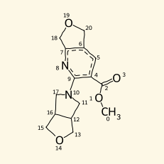 COC(=O)c1cc2c(nc1N1CC3COCC3C1)COC2